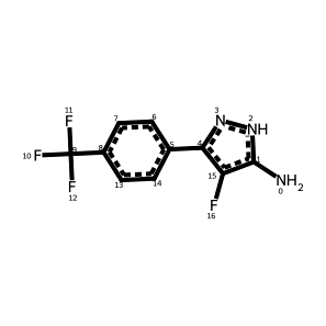 Nc1[nH]nc(-c2ccc(C(F)(F)F)cc2)c1F